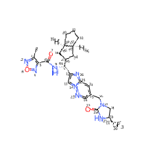 Cc1nonc1C(=O)N[C@@H](c1cn2ncc(CN3C[C@@H](C(F)(F)F)NC3=O)cc2n1)[C@H]1C[C@H]2CCC[C@H]2C1